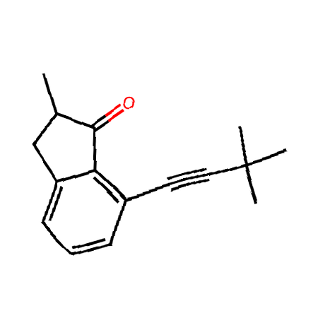 CC1Cc2cccc(C#CC(C)(C)C)c2C1=O